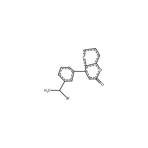 CC(Br)c1cccc(-c2cc(=O)oc3ccccc23)c1